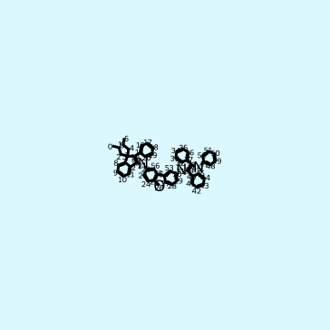 CCCC1(CCC)c2ccccc2-c2c1c1ccccc1n2-c1ccc2oc3ccc(-n4c5ccccc5c5c4c4ccccc4n5-c4ccccc4)cc3c2c1